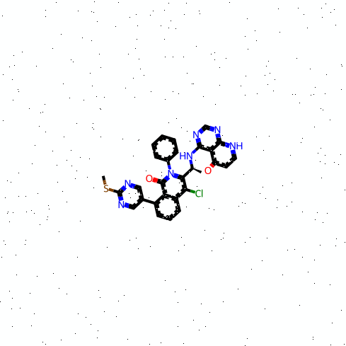 CSc1ncc(-c2cccc3c(Cl)c([C@H](C)Nc4ncnc5[nH]ccc(=O)c45)n(-c4ccccc4)c(=O)c23)cn1